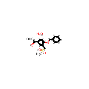 CS(=O)(=O)Cc1cc(C(=O)C=O)ccc1OCc1ccccc1.O